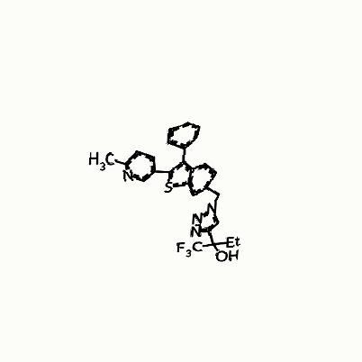 CCC(O)(c1cn(Cc2ccc3c(-c4ccccc4)c(-c4ccc(C)nc4)sc3c2)nn1)C(F)(F)F